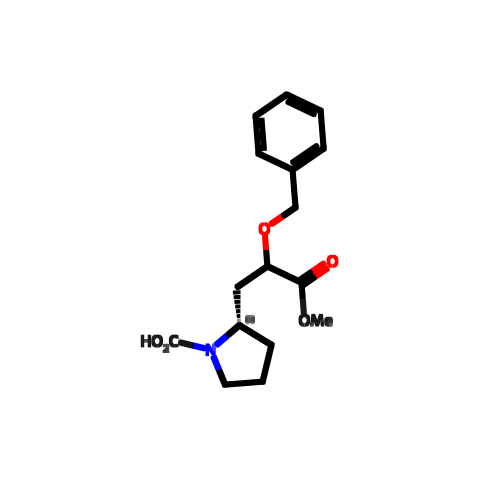 COC(=O)C(C[C@@H]1CCCN1C(=O)O)OCc1ccccc1